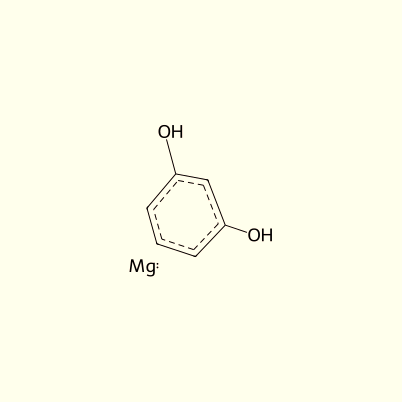 Oc1cccc(O)c1.[Mg]